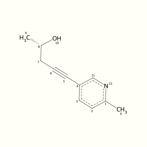 Cc1ccc(C#CC[C@H](C)O)cn1